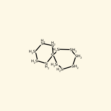 [SiH2]1[SiH2][SiH2][SiH2][Si]2([SiH2][SiH2]1)[SiH2][SiH2][SiH2][SiH2][SiH2]2